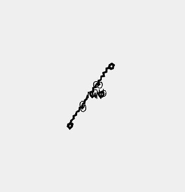 O=C(CCCCCCCc1ccccc1)OCCCCN(CCCCOC(=O)CCCCCCCc1ccccc1)CC(O)CN1CCOCC1